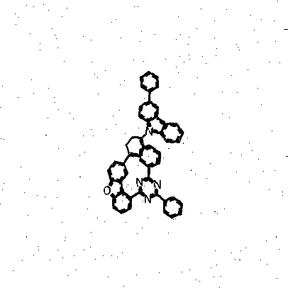 C1=C(c2ccc3oc4cccc(-c5nc(-c6ccccc6)nc(-c6ccccc6)n5)c4c3c2)CCC(n2c3ccccc3c3cc(-c4ccccc4)ccc32)=C1